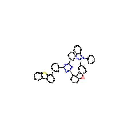 c1ccc(-c2nc(-c3cccc(-c4cccc5c4sc4ccccc45)c3)nc(-c3cccc4oc5ccc(-c6nc7ccccc7n6-c6ccccc6)cc5c34)n2)cc1